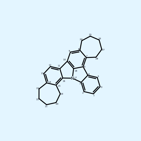 c1ccc2c(c1)c1c3c(cc4c5ccc6c(c5n2c41)CCCCC6)CCCCC3